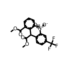 COC(=O)c1cccc(Cl)c1C(C(=O)OC)c1ccc(C(F)(F)F)cc1[N+](=O)[O-]